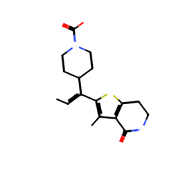 CC=C(c1sc2c(c1C)C(=O)NCC2)C1CCN(C(=O)O)CC1